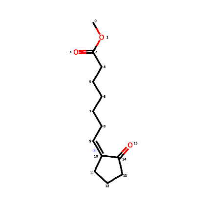 COC(=O)CCCCC/C=C1/CCCC1=O